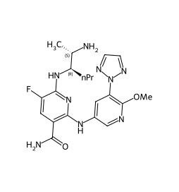 CCC[C@@H](Nc1nc(Nc2cnc(OC)c(-n3nccn3)c2)c(C(N)=O)cc1F)[C@H](C)N